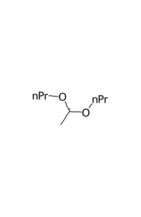 CCCO[C](C)OCCC